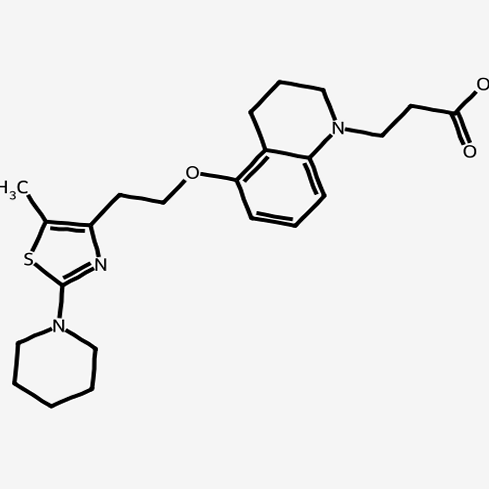 Cc1sc(N2CCCCC2)nc1CCOc1cccc2c1CCCN2CCC(=O)O